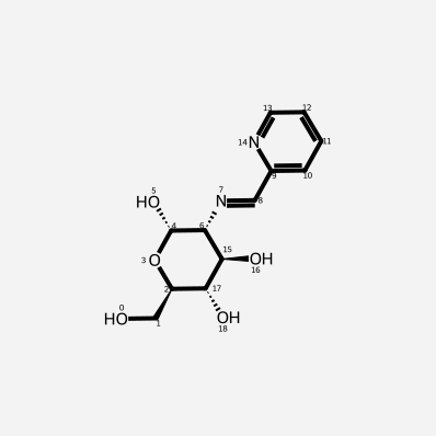 OC[C@H]1O[C@H](O)[C@H](N=Cc2ccccn2)[C@@H](O)[C@@H]1O